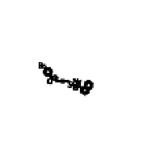 O=C(OCC#CCSc1nnc(-c2cccc3ccccc23)o1)c1ccc(Br)cc1